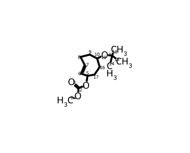 COC(=O)OC1/C=C/CCC(OC(C)(C)C)CC1